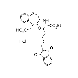 CCOC(=O)[C@@H](CCCCCN1C(=O)c2ccccc2C1=O)NC1CSc2ccccc2N(CC(=O)O)C1=O.Cl